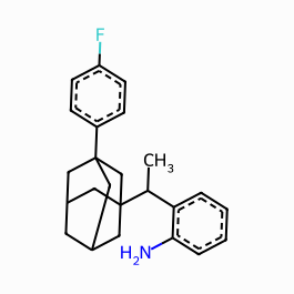 CC(c1ccccc1N)C12CC3CC(CC(c4ccc(F)cc4)(C3)C1)C2